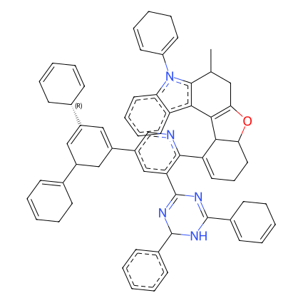 CC1CC2=C(c3c1n(C1=CCCC=C1)c1ccccc31)C1C(c3ncc(C4=CC([C@H]5C=CC=CC5)=CC(C5=CC=CCC5)C4)cc3C3=NC(c4ccccc4)NC(C4=CC=CCC4)=N3)=CCCC1O2